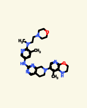 Cc1cc(Nc2ncc3c(n2)CN(c2cnc4c(c2C)NCCO4)CC3)cnc1N(C)CCN1CCOCC1